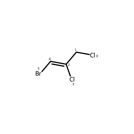 ClCC(Cl)=CBr